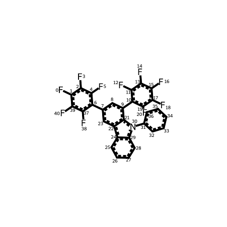 Fc1c(F)c(F)c(-c2cc(-c3c(F)c(F)c(F)c(F)c3F)c3c(c2)c2ccccc2n3-c2ccccc2)c(F)c1F